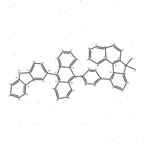 CC1(C)c2cccc(-c3ccc(-c4c5ccccc5c(-c5ccc6oc7ccccc7c6c5)c5ccccc45)cc3)c2-c2c1ccc1ccccc21